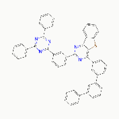 c1ccc(-c2cccc(-c3cccc(-c4nc(-c5cccc(-c6nc(-c7ccccc7)nc(-c7ccccc7)n6)c5)nc5c4sc4ccccc45)c3)c2)cc1